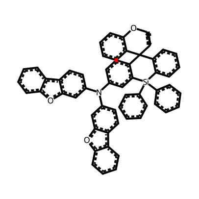 c1ccc([Si]2(c3ccccc3)c3ccccc3C3(c4ccccc4Oc4ccccc43)c3ccc(N(c4ccc5c(c4)oc4ccccc45)c4ccc5c(c4)oc4ccccc45)cc32)cc1